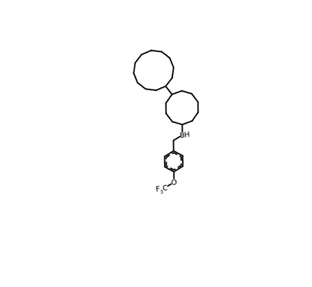 FC(F)(F)Oc1ccc(CBC2CCCCCC(C3CCCCCCCCCCC3)CCC2)cc1